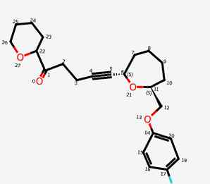 O=C(CCC#C[C@@H]1CCCC[C@@H](COc2ccc(F)cc2)O1)C1CCCCO1